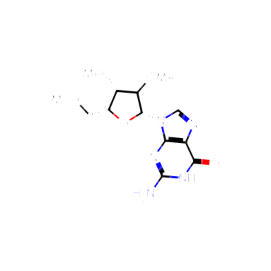 COC[C@H]1O[C@@H](n2cnc3c(=O)[nH]c(N)nc32)C(OC)[C@H]1OC